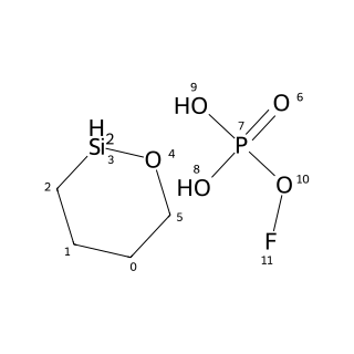 C1CC[SiH2]OC1.O=P(O)(O)OF